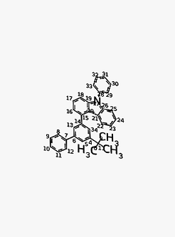 CC(C)(C)c1cc(-c2ccccc2)cc(-c2cccc3c2c2ccccc2n3-c2ccccc2)c1